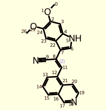 COc1cc2[nH]cc(/C(C#N)=C/c3cccc4cnccc34)c2cc1OC